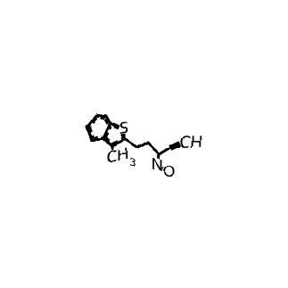 C#CC(CCc1sc2ccccc2c1C)N=O